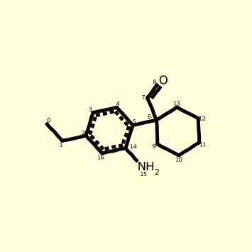 CCc1ccc(C2(C=O)CCCCC2)c(N)c1